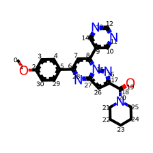 COc1ccc(-c2cc(-c3cncnc3)n3nc(C(=O)N4CCCCC4)cc3n2)cc1